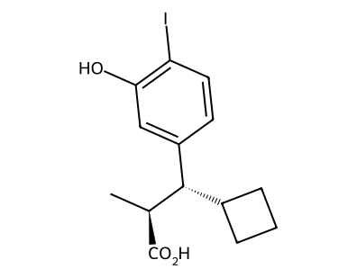 C[C@H](C(=O)O)[C@H](c1ccc(I)c(O)c1)C1CCC1